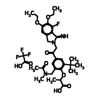 CCOc1cc2c(c(F)c1OCC)C(=N)N(CC(=O)c1cc(CN(C)C(C)=O)c(OC(C)C(=O)O)c(C(C)(C)C)c1)C2.O=C(O)C(F)(F)F